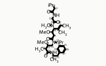 C/C=C(\C)[C@H]([C@H](CC(=O)N(CCC)CC(OC)[C@H](C)C(=O)N[C@@H](C)Cc1ccccc1)OC)N(C)C(=O)CNC(=O)CC(C)C